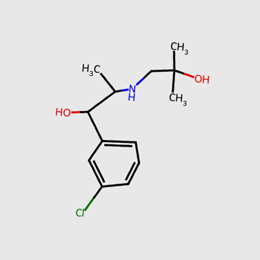 CC(NCC(C)(C)O)C(O)c1cccc(Cl)c1